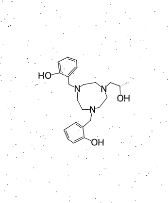 C[C@H](O)CN1CCN(Cc2ccccc2O)CCN(Cc2ccccc2O)CC1